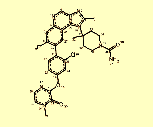 Cc1nc2cnc3cc(F)c(-c4ccc(Oc5nccn(C)c5=O)cc4Cl)cc3c2n1C1(C)CCN(C(N)=O)CC1